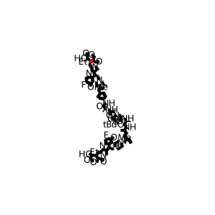 C=C/C(=C\C=C(/C)NC(=O)[C@H](C)NC(=O)CN(CC(=O)N[C@@H](C)C(=O)Nc1ccc(C[N+]2(C)CCN(Cc3c4c(nc5cc(F)c(OC)cc35)-c3cc5c(c(=O)n3C4)COC(=O)[C@]5(O)CC)CC2)cc1)C(=O)OC(C)(C)C)C[N+]1(C)CCN(Cc2c3c(nc4cc(F)c(OC)cc24)-c2cc4c(c(=O)n2C3)COC(=O)[C@]4(O)CC)CC1